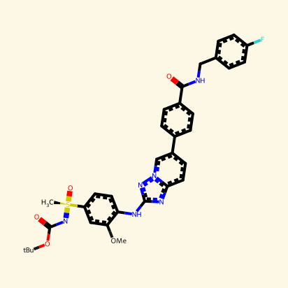 COc1cc([S@@](C)(=O)=NC(=O)OC(C)(C)C)ccc1Nc1nc2ccc(-c3ccc(C(=O)NCc4ccc(F)cc4)cc3)cn2n1